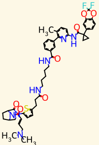 Cc1ccc(NC(=O)C2(c3ccc4c(c3)OC(F)(F)O4)CC2)nc1-c1cccc(C(=O)NCCCCCNC(=O)CCc2ccc(N3CC4CCC(C3=O)N4C(=O)/C=C/CN(C)C)s2)c1